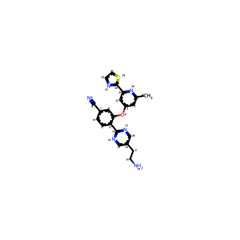 Cc1cc(Oc2cc(C#N)ccc2-c2ncc(CCN)cn2)cc(-c2nccs2)n1